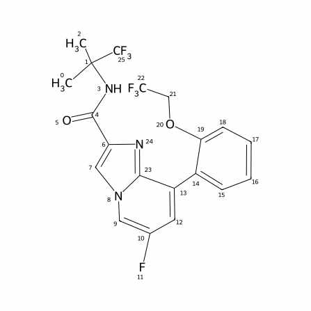 CC(C)(NC(=O)c1cn2cc(F)cc(-c3ccccc3OCC(F)(F)F)c2n1)C(F)(F)F